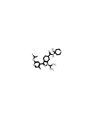 CC(C)n1nc(-c2cc(OC(F)F)ncc2F)c2c1CC(C(=O)NC1(C)CCSCC1)CC2